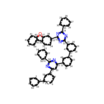 c1ccc(-c2cccc(-c3cc(-c4cccc(-c5cccc(-c6nc(-c7ccccc7)nc(-c7ccc8c(c7)oc7ccccc78)n6)c5)c4)nc(-c4ccccc4)n3)c2)cc1